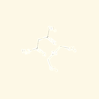 CC(=O)CC(C)=O.C[CH2][Zn][CH2]C